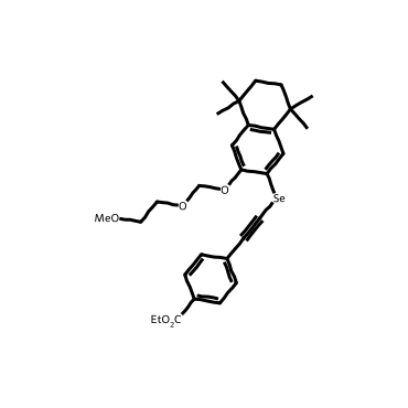 CCOC(=O)c1ccc(C#C[Se]c2cc3c(cc2OCOCCOC)C(C)(C)CCC3(C)C)cc1